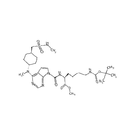 CNS(=O)(=O)C[C@H]1CC[C@H](N(C)c2ncnc3c2ccn3C(=O)N[C@@H](CCCCNC(=O)OC(C)(C)C)C(=O)OC)CC1